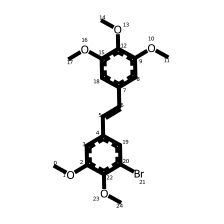 COc1cc(C=Cc2cc(OC)c(OC)c(OC)c2)cc(Br)c1OC